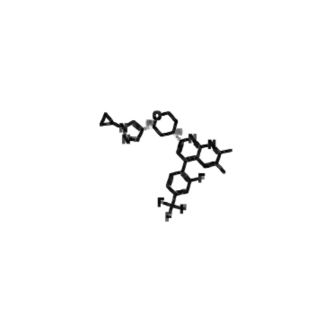 Cc1cc2c(-c3ccc(C(F)(F)F)cc3F)cc([C@H]3CCO[C@@H](c4cnn(C5CC5)c4)C3)nc2nc1C